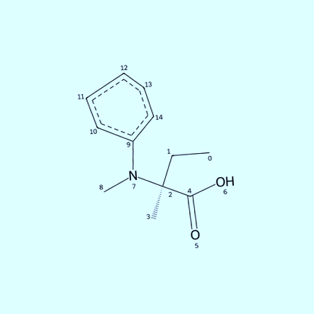 CC[C@@](C)(C(=O)O)N(C)c1ccccc1